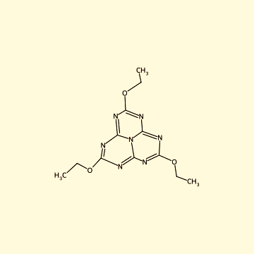 CCOC1=NC2=NC(OCC)=NC3=NC(OCC)=NC(=N1)N23